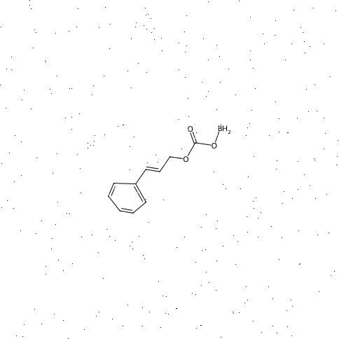 BOC(=O)OC/C=C/c1ccccc1